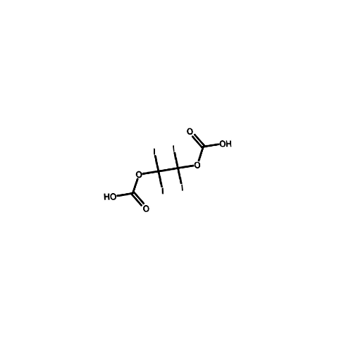 O=C(O)OC(I)(I)C(I)(I)OC(=O)O